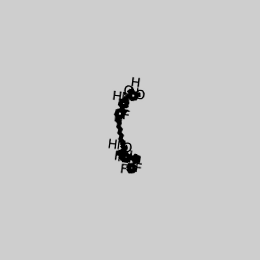 O=C1CCC(Nc2ccc(C3CCN(CCCCCCCCNC(=O)c4cnn5ccc(N6CCC[C@@H]6c6cc(F)ccc6F)nc45)CC3(F)F)cc2)C(=O)N1